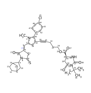 Cn1c(/C=C2\SC(=S)N(C3CC4CCC3C4)C2=O)cc(C#CCCCOC(=O)[C@@H]2CC(=O)N(C(C)(C)C)C(=O)N2)c1-c1ccc(Cl)cc1